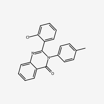 Cc1ccc(-n2c(-c3ccccc3Cl)nc3ccccc3c2=O)cc1